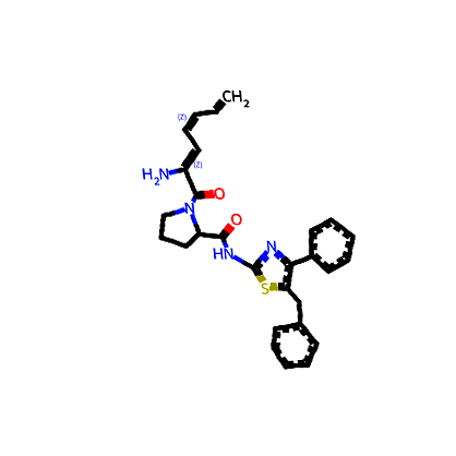 C=C/C=C\C=C(/N)C(=O)N1CCCC1C(=O)Nc1nc(-c2ccccc2)c(Cc2ccccc2)s1